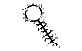 FC(F)(F)C(F)(F)C(F)(F)C(F)(F)C(F)(F)C(F)(F)C(F)(F)C1CNCCNCCNCCN1